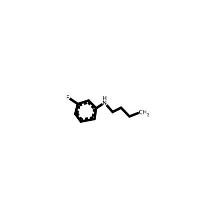 [CH2]CCCNc1cccc(F)c1